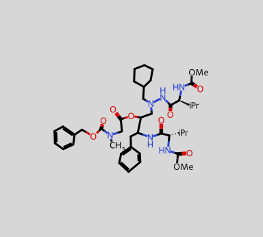 COC(=O)N[C@H](C(=O)NC(Cc1ccccc1)C(CN(CC1CCCCC1)NC(=O)[C@@H](NC(=O)OC)C(C)C)OC(=O)CN(C)C(=O)OCc1ccccc1)C(C)C